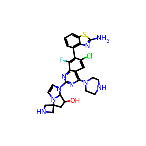 Nc1nc2c(-c3c(Cl)cc4c(N5CCNCC5)nc(N5C=CN6C5C(O)CC65CNC5)nc4c3F)cccc2s1